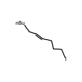 CCCCC/C=C/CCCI